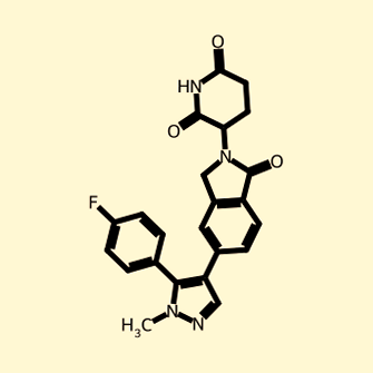 Cn1ncc(-c2ccc3c(c2)CN(C2CCC(=O)NC2=O)C3=O)c1-c1ccc(F)cc1